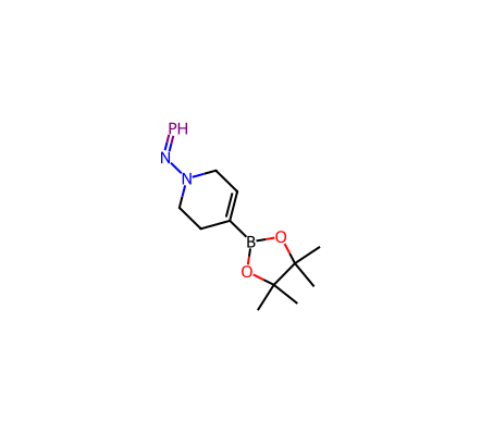 CC1(C)OB(C2=CCN(N=P)CC2)OC1(C)C